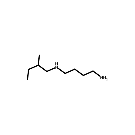 CCC(C)CNCCCCN